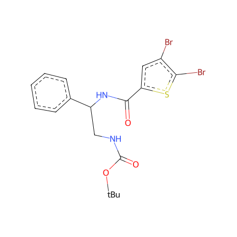 CC(C)(C)OC(=O)NCC(NC(=O)c1cc(Br)c(Br)s1)c1ccccc1